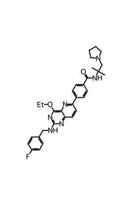 CCOc1nc(NCc2ccc(F)cc2)nc2ccc(-c3ccc(C(=O)NC(C)(C)CN4CCCC4)cc3)nc12